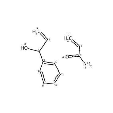 C=CC(N)=O.C=CC(O)c1ccccc1